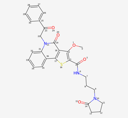 COc1c(C(=O)NCCCN2CCCC2=O)sc2c1c(=O)n(CC(=O)c1ccccc1)c1ccccc21